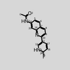 CC(=O)Nc1ccc2ccc(C3=CN[C@H](F)C=C3)nc2c1